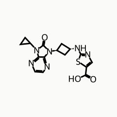 O=C(O)c1cnc(N[C@H]2C[C@H](n3c(=O)n(C4CC4)c4nccnc43)C2)s1